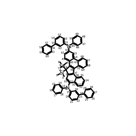 C[Si](C)(C)C1([Si](C)(C)C)c2cc(N(c3ccccc3)c3cccc(-c4ccccc4)c3)c3ccccc3c2-c2c1c1ccc(N(c3ccccc3)c3cccc(-c4ccccc4)c3)cc1c1ccccc21